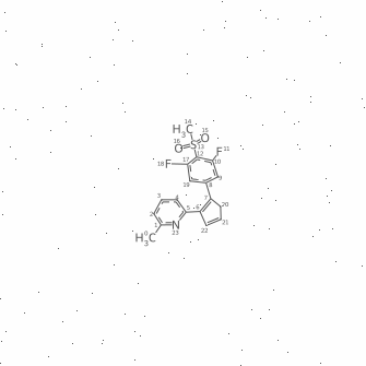 Cc1cccc(C2=C(c3cc(F)c(S(C)(=O)=O)c(F)c3)CC=C2)n1